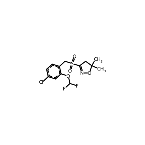 CC1(C)CC(S(=O)(=O)Cc2ccc(Cl)cc2OC(F)F)=NO1